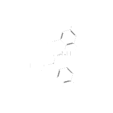 O=C(O)C(ONc1c(Cl)cccc1Cl)c1ccccc1